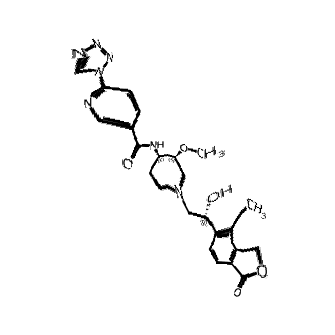 CO[C@H]1CN(C[C@H](O)c2ccc3c(c2C)COC3=O)CC[C@H]1NC(=O)c1ccc(-n2cnnn2)nc1